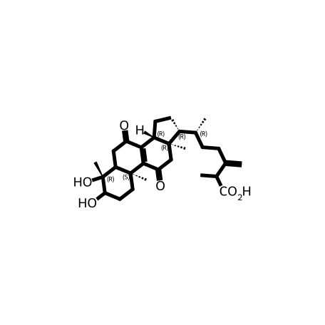 C=C(CC[C@@H](C)[C@H]1CC[C@H]2C3=C(C(=O)C[C@]12C)[C@@]1(C)CCC(O)[C@](C)(O)C1CC3=O)C(C)C(=O)O